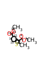 CCOC(=O)c1c(C)sc2c1CC(C(=O)OCC)CC2